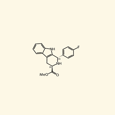 COC(=O)[C@H]1Cc2c([nH]c3ccccc23)[C@H](c2ccc(F)cc2)N1